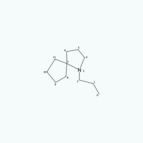 CCCN1CCCC12CCCC2